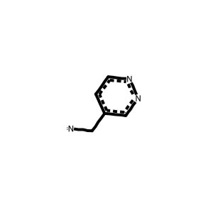 [N]Cc1ccnnc1